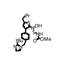 COC(=O)NSN(O)c1sc(CC(C)C)cc1-c1ccc(Cn2ccnc2C(C)(C)C)cc1